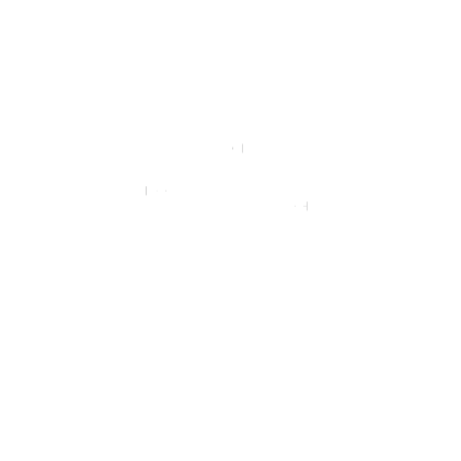 CC1C(O)c2ccccc2C1O